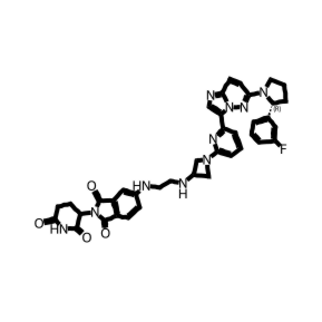 O=C1CCC(N2C(=O)c3ccc(NCCNC4CN(c5cccc(-c6cnc7ccc(N8CCC[C@@H]8c8cccc(F)c8)nn67)n5)C4)cc3C2=O)C(=O)N1